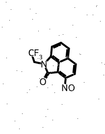 O=Nc1ccc2cccc3c2c1C(=O)N3CC(F)(F)F